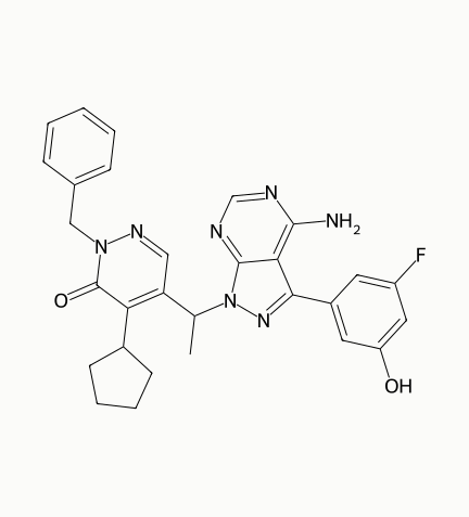 CC(c1cnn(Cc2ccccc2)c(=O)c1C1CCCC1)n1nc(-c2cc(O)cc(F)c2)c2c(N)ncnc21